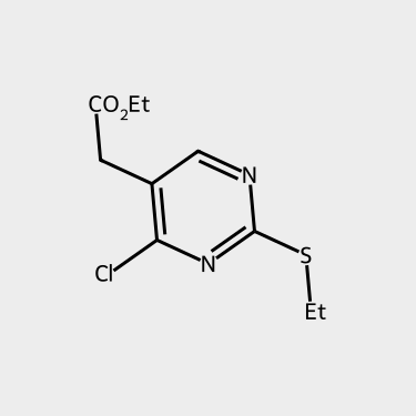 CCOC(=O)Cc1cnc(SCC)nc1Cl